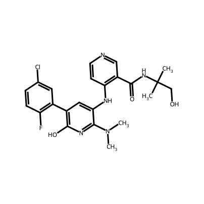 CN(C)c1nc(O)c(-c2cc(Cl)ccc2F)cc1Nc1ccncc1C(=O)NC(C)(C)CO